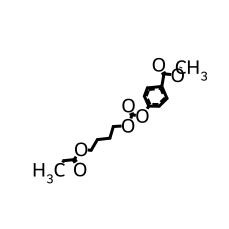 CCC(=O)OCCCCOC(=O)Oc1ccc(C(=O)OC)cc1